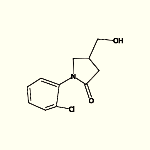 O=C1CC(CO)CN1c1ccccc1Cl